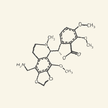 COc1ccc2c(c1OC)C(=O)O[C@@H]2[C@H]1c2c(c(CN)c3c(c2OC)OCO3)CCN1C